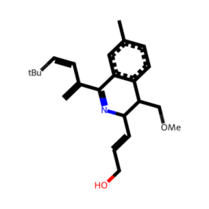 C=C(/C=C\C(C)(C)C)C1=NC(/C=C/CO)C(COC)c2ccc(C)cc21